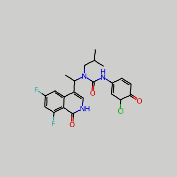 CC(C)CN(C(=O)NC1=CC(Cl)C(=O)C=C1)C(C)c1c[nH]c(=O)c2c(F)cc(F)cc12